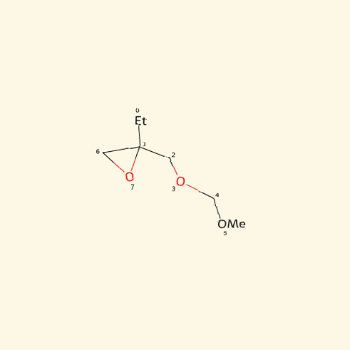 CCC1(COCOC)CO1